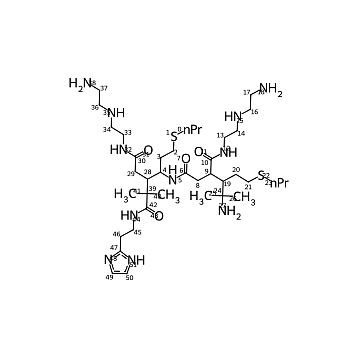 CCCSCCC(NC(=O)CC(C(=O)NCCNCCN)C(CCSCCC)C(C)(C)N)C(CC(=O)NCCNCCN)C(C)(C)C(=O)NCCc1ncc[nH]1